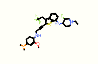 CCN1CCC(Nc2cccc3c(CC(F)(F)F)c(C#CCNC4CCC(P(C)C)C=C4OC)sc23)C(F)C1